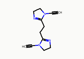 C#CN1CCN=C1CCC1=NCCN1C#C